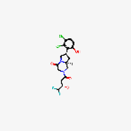 O=C(C[C@H](O)C(F)F)N1CC(=O)N2C[C@@H](c3c(O)ccc(Cl)c3Cl)C[C@H]2C1